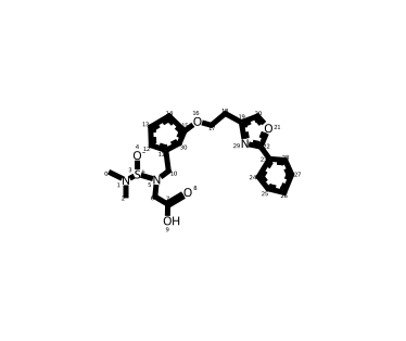 CN(C)[S+]([O-])N(CC(=O)O)Cc1cccc(OCCc2coc(-c3ccccc3)n2)c1